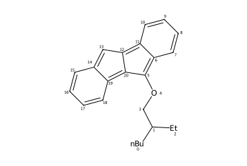 CCCCC(CC)COC1=c2ccccc2=C2C=c3ccccc3=C21